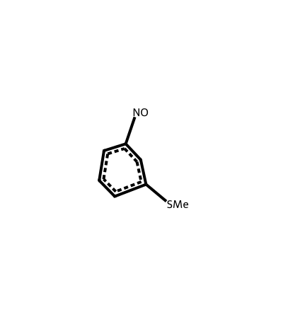 CSc1cccc(N=O)c1